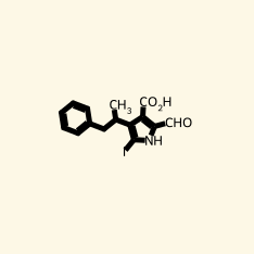 CC(Cc1ccccc1)c1c(I)[nH]c(C=O)c1C(=O)O